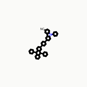 N#Cc1ccc2c(c1)c1cc(-c3ccc(-c4ccc5c(-c6ccccc6)c6ccccc6c(-c6ccccc6)c5c4)cc3)ccc1n2-c1ccccc1